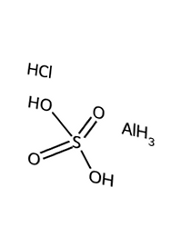 Cl.O=S(=O)(O)O.[AlH3]